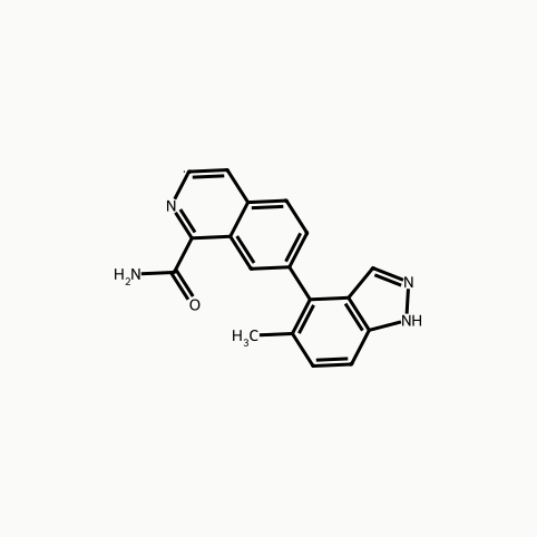 Cc1ccc2[nH]ncc2c1-c1ccc2c[c]nc(C(N)=O)c2c1